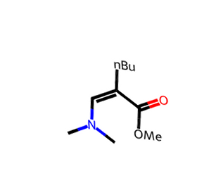 CCCCC(=CN(C)C)C(=O)OC